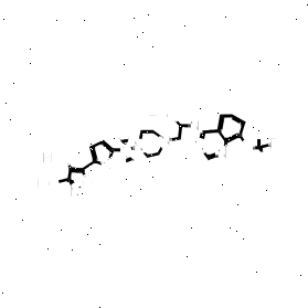 Cc1noc(-c2ccc(S(=O)(=O)N3CCN(CC(C)Nc4ncnc5c(OC(F)(F)F)cccc45)CC3)s2)c1C